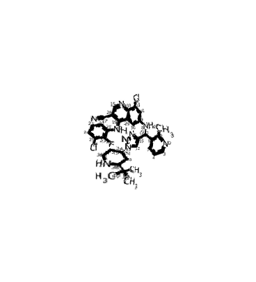 Cc1ncccc1[C@H](Nc1cc(Cl)c2ncc(C#N)c(Nc3cccc(Cl)c3F)c2c1)c1cn([C@H]2CCN[C@H](C(C)(C)C)C2)nn1